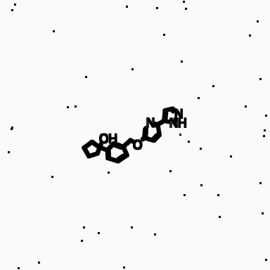 OC1(c2cccc(COc3ccc(-c4ccn[nH]4)nc3)c2)CCCC1